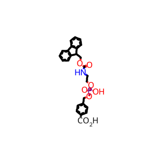 O=C(NCCOP(=O)(O)OCc1ccc(C(=O)O)cc1)OCC1c2ccccc2-c2ccccc21